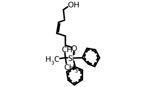 CC(C)(C)[Si](OCC/C=C\CCO)(c1ccccc1)c1ccccc1